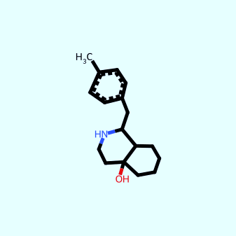 Cc1ccc(CC2NCCC3(O)CCCCC23)cc1